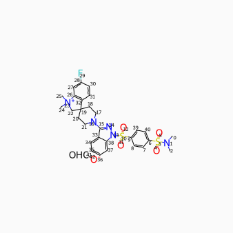 CN(C)S(=O)(=O)c1ccc(S(=O)(=O)n2nc(N3CCC4(CC3)C[N+](C)(C)c3cc(F)ccc34)c3ccccc32)cc1.O=C[O-]